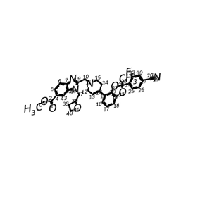 COC(=O)c1ccc2nc(CN3CC=C(c4cccc5c4OC(C)(c4ccc(C#N)cc4F)O5)CC3)n(CC3CCO3)c2c1